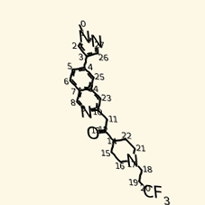 Cn1cc(-c2ccc3cnc(CC(=O)C4CCN(CCC(F)(F)F)CC4)cc3c2)cn1